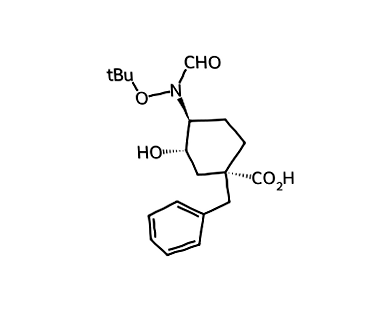 CC(C)(C)ON(C=O)[C@H]1CC[C@](Cc2ccccc2)(C(=O)O)C[C@@H]1O